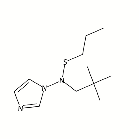 CCCSN(CC(C)(C)C)n1ccnc1